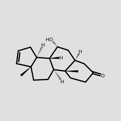 C[C@]12CCC(=O)C[C@@H]1C[C@@H](O)[C@@H]1[C@@H]2CC[C@]2(C)C=CC[C@@H]12